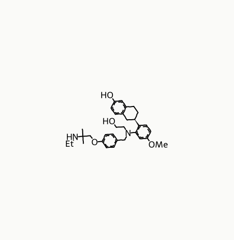 CCNC(C)(C)COc1ccc(CN(CCO)c2cc(OC)ccc2[C@@H]2CCc3cc(O)ccc3C2)cc1